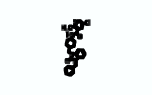 Cc1ncc(Cl)cc1C(=O)NC1CCC(Cn2c(=O)n(Cc3ccccc3)c3ccccc32)CC1